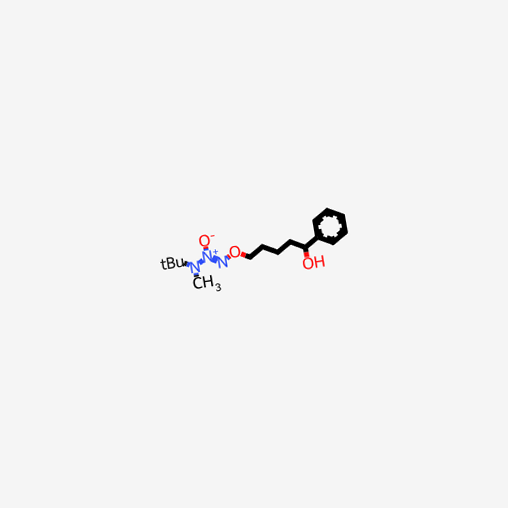 CN(/[N+]([O-])=N/OCCCCC(O)c1ccccc1)C(C)(C)C